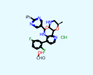 CC(C)c1ncc(C(=O)Nc2c(-c3cc(F)ccc3F)ccnc2C2CNC[C@@H](C)O2)cn1.Cl.O=CO